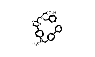 CN(Cc1ccc(-c2ccccc2)cc1)c1ccc(-c2csc(CN(CC(=O)O)Cc3ccccc3)n2)cc1